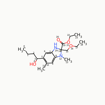 CCCC(O)c1cc2c(cc1C)N(C)C(COCC)(C(=O)OCC)N2